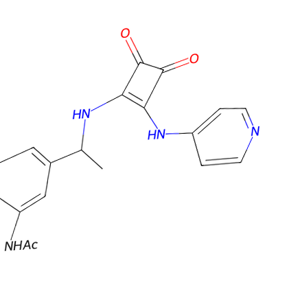 CC(=O)Nc1cccc(C(C)Nc2c(Nc3ccncc3)c(=O)c2=O)c1